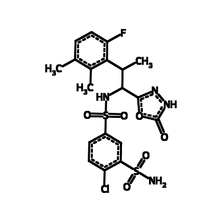 Cc1ccc(F)c(C(C)C(NS(=O)(=O)c2ccc(Cl)c(S(N)(=O)=O)c2)c2n[nH]c(=O)o2)c1C